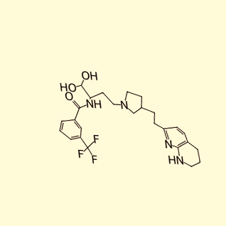 O=C(NC(CCN1CCC(CCc2ccc3c(n2)NCCC3)C1)C(O)O)c1cccc(C(F)(F)F)c1